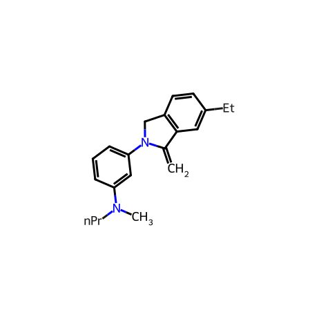 C=C1c2cc(CC)ccc2CN1c1cccc(N(C)CCC)c1